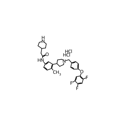 Cc1ccc(NC(=O)CC2CCNCC2)cc1C1CCN(Cc2ccc(Oc3cc(F)c(F)cc3F)cc2)CC1.Cl.Cl